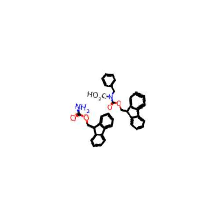 NC(=O)OCC1c2ccccc2-c2ccccc21.O=C(O)N(Cc1ccccc1)C(=O)OCC1c2ccccc2-c2ccccc21